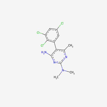 Cc1nc(N(C)C)nc(N)c1-c1cc(Cl)cc(Cl)c1Cl